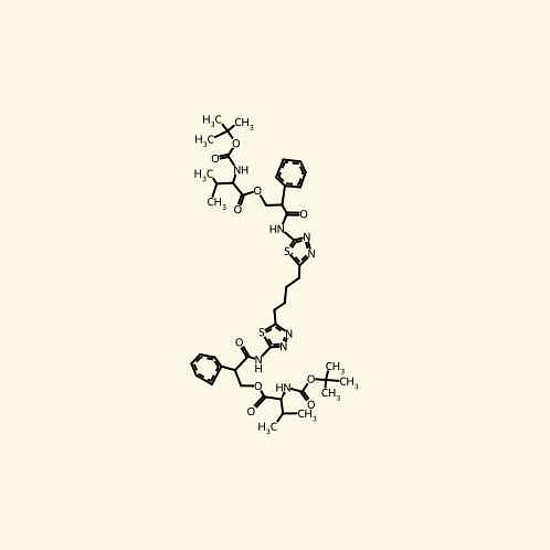 CC(C)C(NC(=O)OC(C)(C)C)C(=O)OCC(C(=O)Nc1nnc(CCCCc2nnc(NC(=O)C(COC(=O)[C@@H](NC(=O)OC(C)(C)C)C(C)C)c3ccccc3)s2)s1)c1ccccc1